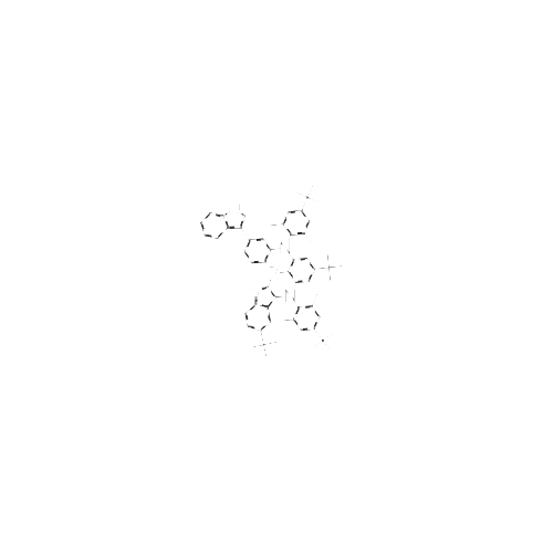 Cc1cc(C(C)(C)C)cc(C)c1N1c2cc(-c3coc4ccccc34)ccc2B2c3sc4ccc(C(C)(C)C)cc4c3N(c3c(C)cc(C(C)(C)C)cc3C)c3cc(C(C)(C)C)cc1c32